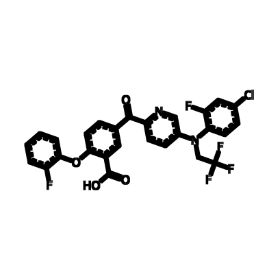 O=C(c1ccc(Oc2ccccc2F)c(C(=O)O)c1)c1ccc(N(CC(F)(F)F)c2ccc(Cl)cc2F)cn1